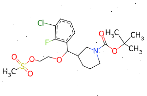 CC(C)(C)OC(=O)N1CCCC(C(OCCOS(C)(=O)=O)c2cccc(Cl)c2F)C1